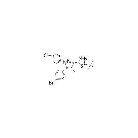 Cc1c(-c2nnc(C(C)(C)C)s2)nn(-c2ccc(Cl)cc2)c1-c1ccc(Br)cc1